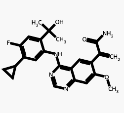 C=C(C(N)=O)c1cc2c(Nc3cc(C4CC4)c(F)cc3C(C)(C)O)ncnc2cc1OC